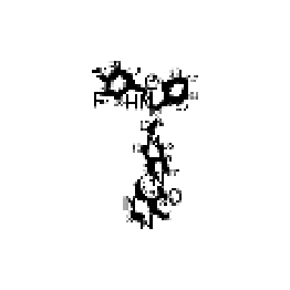 Cc1ncnc(C)c1C(=O)N1C=C2CN(CC[C@H](NC(=O)c3ccc(F)c(F)c3)c3ccccc3)CC2C1